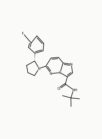 CC(C)(C)NC(=O)c1cnc2ccc(N3CCC[C@@H]3c3cccc(F)c3)nn12